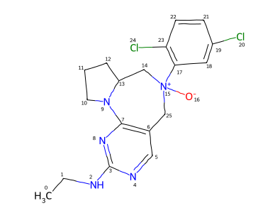 CCNc1ncc2c(n1)N1CCCC1C[N+]([O-])(c1cc(Cl)ccc1Cl)C2